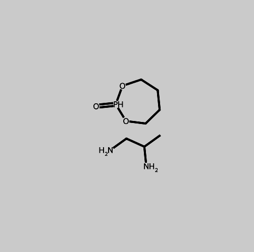 CC(N)CN.O=[PH]1OCCCCO1